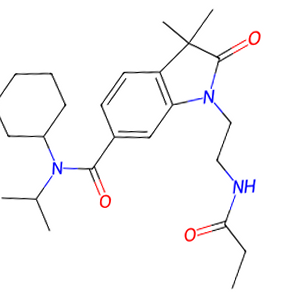 CCC(=O)NCCN1C(=O)C(C)(C)c2ccc(C(=O)N(C(C)C)C3CCCCC3)cc21